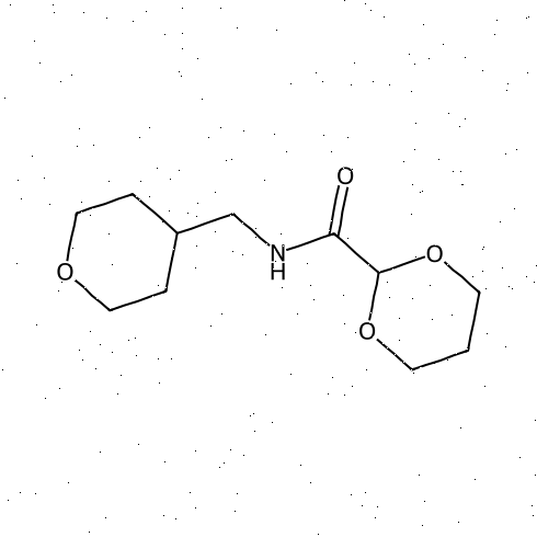 O=C(NCC1CCOCC1)C1OCCCO1